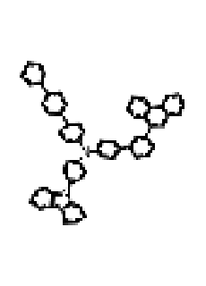 c1ccc(-c2ccc(-c3ccc(N(c4ccc(-c5cccc(-c6cc7ccccc7c7ccccc67)c5)cc4)c4ccc(-n5c6ccccc6c6ccccc65)cc4)cc3)cc2)cc1